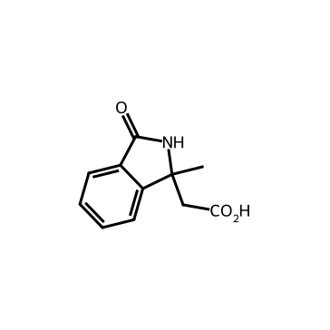 CC1(CC(=O)O)NC(=O)c2ccccc21